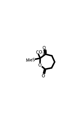 CSC1(C(=O)O)OC(=O)CCCC1=O